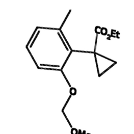 CCOC(=O)C1(c2c(C)cccc2OCOC)CC1